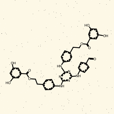 O=Cc1ccc(Nc2nc(Nc3ccc(CCOC(=O)c4cc(O)cc(O)c4)cc3)nc(Nc3ccc(CCOC(=O)c4cc(O)cc(O)c4)cc3)n2)cc1